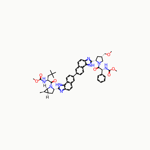 COC[C@H]1C[C@@H](c2nc3ccc4cc(-c5ccc6c(ccc7nc([C@@H]8C[C@H]9[C@@H](C)[C@H]9N8C(=O)[C@H](CC(C)(C)C)NC(=O)OC)[nH]c76)c5)ccc4c3[nH]2)N(C(=O)[C@H](NC(=O)OC)c2ccccc2)C1